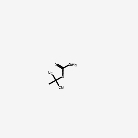 CSC(=S)SC(C)(C#N)C#N